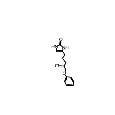 O=c1[nH]cc(CSCC(Cl)COc2ccccc2)[nH]1